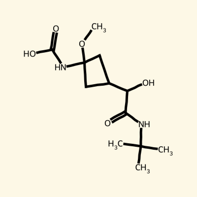 COC1(NC(=O)O)CC(C(O)C(=O)NC(C)(C)C)C1